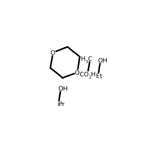 C1COCCO1.CC(=O)O.CC(C)O.CCO